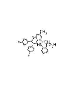 Cc1cc(C(C)Nc2ccccc2C(=O)O)c2cc(-c3ccc(F)cc3)c(-c3ccc(F)cc3)nc2c1